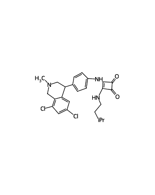 CC(C)CCNc1c(Nc2ccc(C3CN(C)Cc4c(Cl)cc(Cl)cc43)cc2)c(=O)c1=O